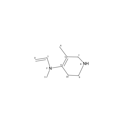 C=CN(C)C1=C(C)CNCC1